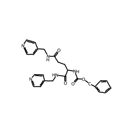 O=C(CCC(NC(=O)OCc1ccccc1)C(=O)NCc1ccncc1)NCc1ccncc1